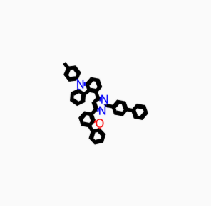 Cc1ccc(-n2c3ccccc3c3c(-c4cc(-c5cccc6c5oc5ccccc56)nc(-c5ccc(-c6ccccc6)cc5)n4)cccc32)cc1